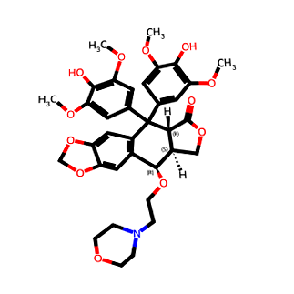 COc1cc(C2(c3cc(OC)c(O)c(OC)c3)c3cc4c(cc3[C@H](OCCN3CCOCC3)[C@@H]3COC(=O)[C@H]32)OCO4)cc(OC)c1O